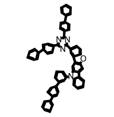 c1ccc(-c2ccc(-c3cccc(-n4c5ccccc5c5cc6oc7ccc(-c8nc(-c9ccc(-c%10ccccc%10)cc9)nc(-c9ccc(-c%10ccccc%10)cc9)n8)cc7c6cc54)c3)cc2)cc1